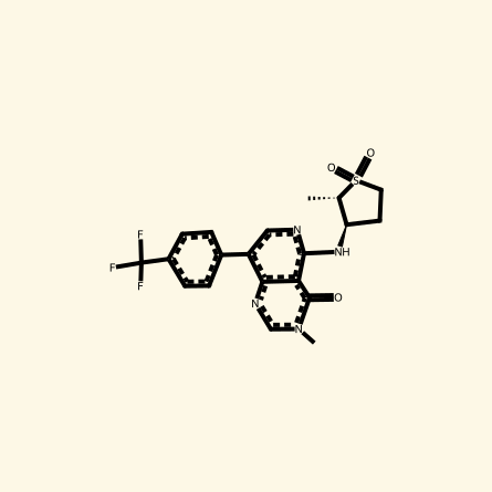 C[C@H]1[C@H](Nc2ncc(-c3ccc(C(F)(F)F)cc3)c3ncn(C)c(=O)c23)CCS1(=O)=O